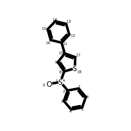 [O-][S+](c1ccccc1)c1cc(-c2ccccc2)cs1